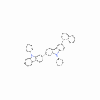 c1ccc(-n2c3ccccc3c3ccc(-c4ccc5c6cc(-c7cccc8ccccc78)ccc6n(-c6ccccc6)c5c4)cc32)cc1